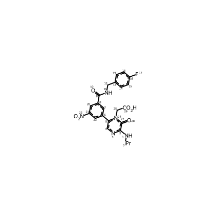 CC(C)Nc1ncc(-c2cc(C(=O)NCc3ccc(F)cc3)cc([N+](=O)[O-])c2)n(CC(=O)O)c1=O